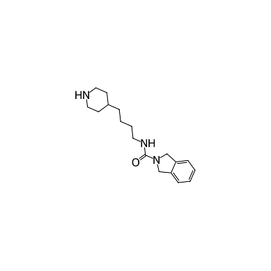 O=C(NCCCCC1CCNCC1)N1Cc2ccccc2C1